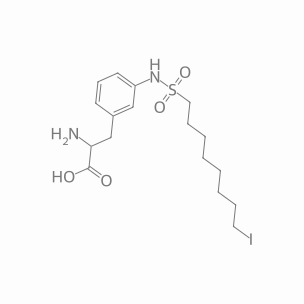 NC(Cc1cccc(NS(=O)(=O)CCCCCCCCI)c1)C(=O)O